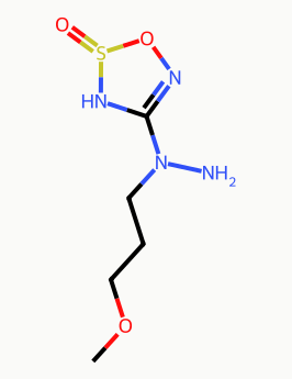 COCCCN(N)C1=NOS(=O)N1